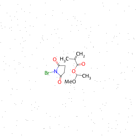 C=C(C)C(=O)OC(C)OC.O=C1CCC(=O)N1Br